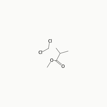 COC(=O)C(C)C.ClCCl